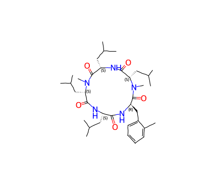 Cc1ccccc1C[C@H]1NC(=O)[C@H](CC(C)C)NC(=O)[C@H](CC(C)C)N(C)C(=O)[C@H](CC(C)C)NC(=O)[C@H](CC(C)C)N(C)C1=O